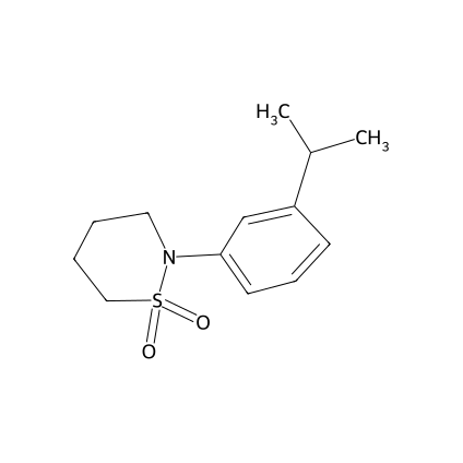 CC(C)c1cccc(N2CCCCS2(=O)=O)c1